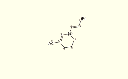 CC(=O)C1=CN(C=CC(C)C)CCC1